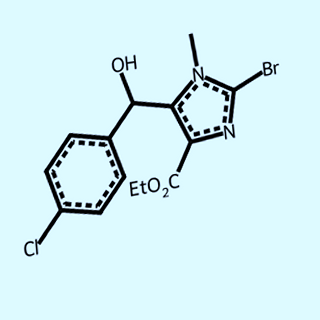 CCOC(=O)c1nc(Br)n(C)c1C(O)c1ccc(Cl)cc1